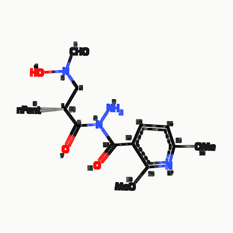 CCCCC[C@H](CN(O)C=O)C(=O)N(N)C(=O)c1ccc(OC)nc1OC